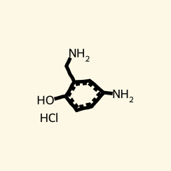 Cl.NCc1cc(N)ccc1O